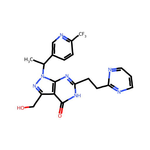 CC(c1ccc(C(F)(F)F)nc1)n1nc(CO)c2c(=O)[nH]c(CCc3ncccn3)nc21